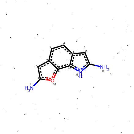 Nc1cc2ccc3cc(N)oc3c2[nH]1